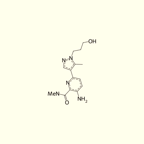 CNC(=O)c1nc(-c2cnn(CCCO)c2C)ccc1N